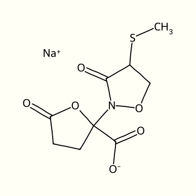 CSC1CON(C2(C(=O)[O-])CCC(=O)O2)C1=O.[Na+]